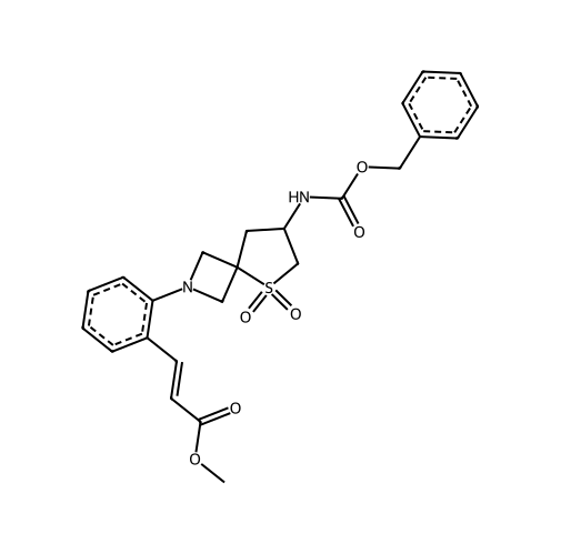 COC(=O)C=Cc1ccccc1N1CC2(CC(NC(=O)OCc3ccccc3)CS2(=O)=O)C1